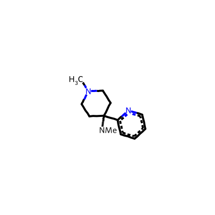 CNC1(c2ccccn2)CCN(C)CC1